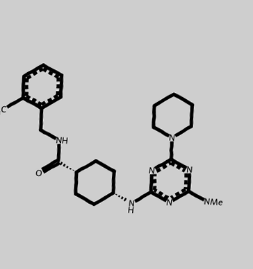 CNc1nc(N[C@H]2CC[C@@H](C(=O)NCc3ccccc3C(F)(F)F)CC2)nc(N2CCCCC2)n1